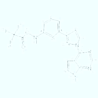 O=C(ONc1cccc(-c2ccn(-c3ccnc4[nH]ccc34)n2)c1)C(F)(F)F